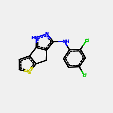 Clc1ccc(Nc2n[nH]c3c2Cc2sccc2-3)c(Cl)c1